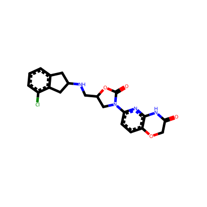 O=C1COc2ccc(N3CC(CNC4Cc5cccc(Cl)c5C4)OC3=O)nc2N1